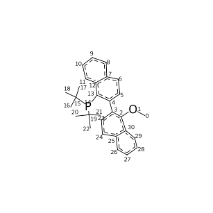 COc1c(-c2ccc3ccccc3c2P(C(C)(C)C)C(C)(C)C)ccc2ccccc12